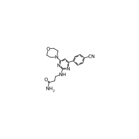 N#Cc1ccc(-c2cc(N3CCOCC3)nc(NCCC(N)=O)n2)cc1